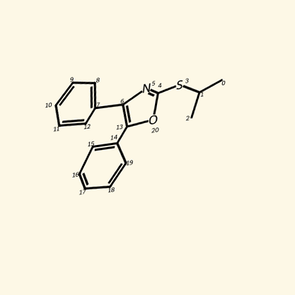 CC(C)Sc1nc(-c2ccccc2)c(-c2ccccc2)o1